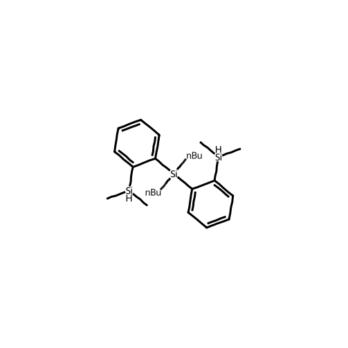 CCCC[Si](CCCC)(c1ccccc1[SiH](C)C)c1ccccc1[SiH](C)C